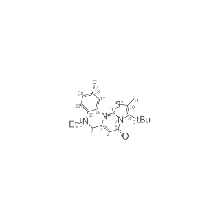 CCN(Cc1cc(=O)n2c(C(C)(C)C)c(C)sc2n1)c1ccc(F)cc1